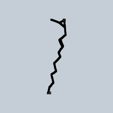 CC(=O)CCCCCCCC=CCC1OC1C